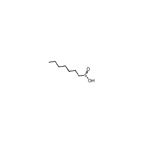 CCCCCC[CH]S(=O)O